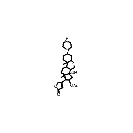 CC(=O)OC1CC2(O)C3CCC4CC(N5CCN(C)CC5)CCC4(C)C3CCC2(C)C1C1=CC(=O)OC1